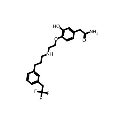 NC(=O)Cc1ccc(OCCNCCCc2cccc(CC(F)(F)F)c2)c(O)c1